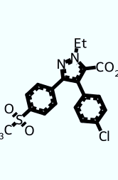 CCn1nc(-c2ccc(S(C)(=O)=O)cc2)c(-c2ccc(Cl)cc2)c1C(=O)O